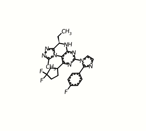 CC[C@H]1Nc2nc(-n3ccnc3-c3ccc(F)cc3)nc(C3CCC(F)(F)C3)c2-n2c(C)nnc21